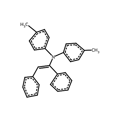 Cc1ccc(N(C(=Cc2ccccc2)c2ccccc2)c2ccc(C)cc2)cc1